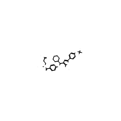 Cc1oc(-c2ccc(OC(F)(F)F)cc2)cc1C(Oc1ccc(C(=O)N(C)CCC(=O)O)cc1)C1CCCCC1